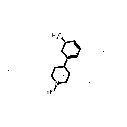 CCCN1CCC(C2=CC=C[C@H](C)C2)CC1